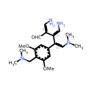 COc1cc(C(=C/N(C)C)/C(=C/N)C(/C=O)=C\N)cc(OC)c1CN(C)C